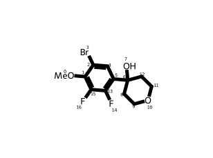 COc1c(Br)cc(C2(O)CCOCC2)c(F)c1F